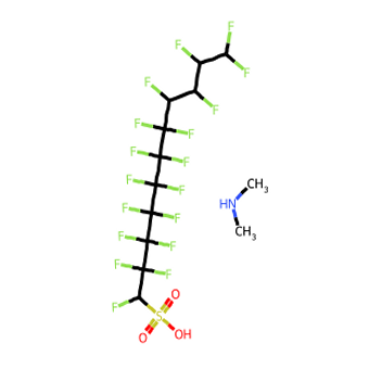 CNC.O=S(=O)(O)C(F)C(F)(F)C(F)(F)C(F)(F)C(F)(F)C(F)(F)C(F)(F)C(F)C(F)C(F)C(F)F